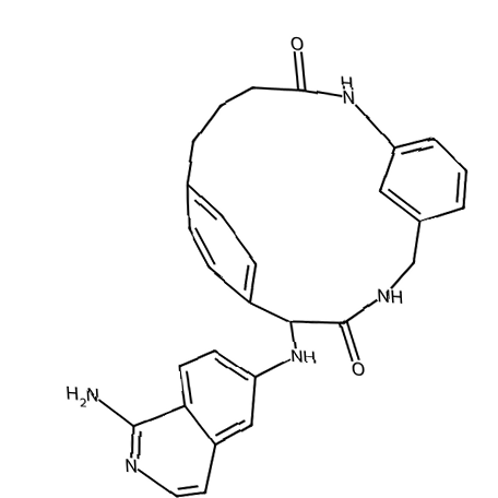 Nc1nccc2cc(NC3C(=O)NCc4cccc(c4)NC(=O)CCCc4ccc3cc4)ccc12